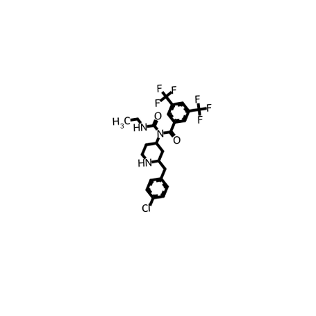 CCNC(=O)N(C(=O)c1cc(C(F)(F)F)cc(C(F)(F)F)c1)C1CCNC(Cc2ccc(Cl)cc2)C1